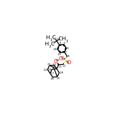 CC(C)(C)c1ccc(CS(=O)(=O)CC(=O)C23CC4CC(CC(C4)C2)C3)cc1